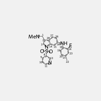 CNCc1cn(S(=O)(=O)c2cccnc2)c2cc(Nc3ccc(C)cc3F)ccc12